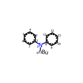 C[CH]CCN(c1ccccc1)c1ccccc1